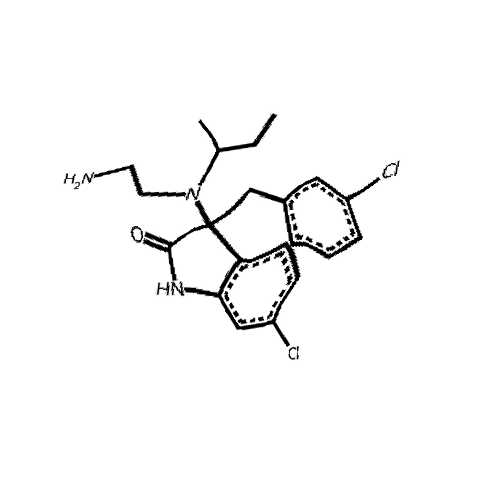 CCC(C)N(CCN)C1(Cc2cccc(Cl)c2)C(=O)Nc2cc(Cl)ccc21